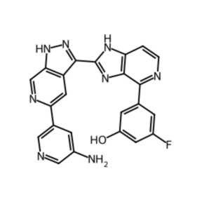 Nc1cncc(-c2cc3c(-c4nc5c(-c6cc(O)cc(F)c6)nccc5[nH]4)n[nH]c3cn2)c1